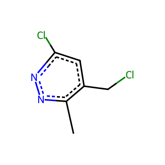 Cc1nnc(Cl)cc1CCl